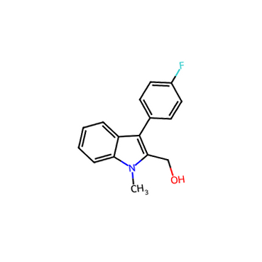 Cn1c(CO)c(-c2ccc(F)cc2)c2ccccc21